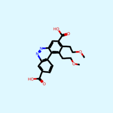 COCCc1c(C(=O)O)cc2nnc3cc(C(=O)O)ccc3c2c1CCOC